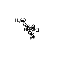 COC(=O)c1ccc(OC(=O)N[C@@](Cc2ccccc2)(c2cccc(OC(F)(F)C(F)F)c2)c2ccc(Cl)cn2)cc1